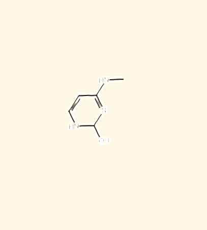 CNC1=NC(O)NC=C1